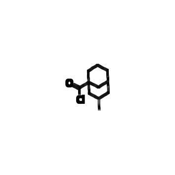 CC1CC2CCCC(C(=O)Cl)(C1)C2